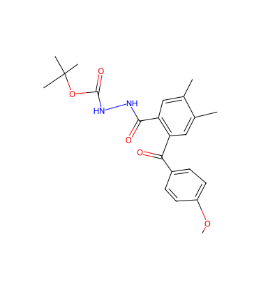 COc1ccc(C(=O)c2cc(C)c(C)cc2C(=O)NNC(=O)OC(C)(C)C)cc1